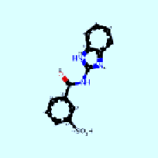 O=C(Nc1nc2ccccc2[nH]1)c1cccc(S(=O)(=O)O)c1